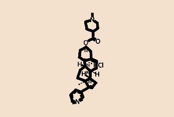 CN1CCC(C(=O)O[C@H]2CC[C@@]3(C)C(=CC[C@@H]4[C@@H]3CC[C@]3(C)C(c5cccnc5)=CC[C@@H]43)C2)CC1.Cl